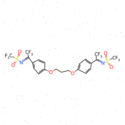 O=S(=O)(/N=C(/c1ccc(OCCCOc2ccc(/C(=N/S(=O)(=O)C(F)(F)F)C(F)(F)F)cc2)cc1)C(F)(F)F)C(F)(F)F